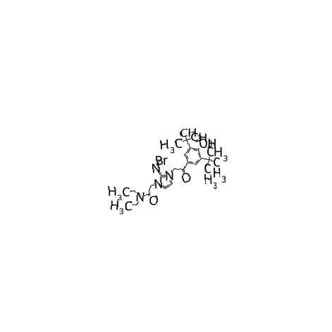 CCN(CC)C(=O)Cn1ccn(CC(=O)c2cc(C(C)(C)C)c(O)c(C(C)(C)C)c2)/c1=N\Br